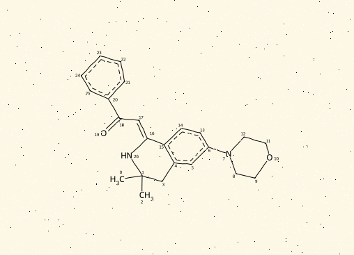 CC1(C)Cc2cc(N3CCOCC3)ccc2C(=CC(=O)c2ccccc2)N1